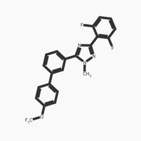 Cn1nc(-c2c(F)cccc2F)nc1-c1cccc(-c2ccc(OC(F)(F)F)cc2)c1